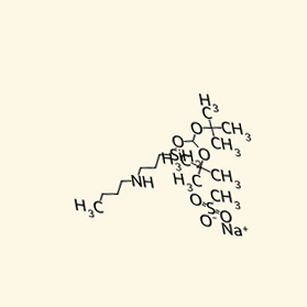 CCCCNCCC[SiH2]OC(OC(C)(C)C)OC(C)(C)C.CS(=O)(=O)[O-].[Na+]